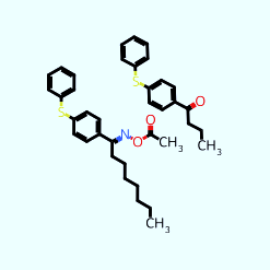 CCCC(=O)c1ccc(Sc2ccccc2)cc1.CCCCCCCC(=NOC(C)=O)c1ccc(Sc2ccccc2)cc1